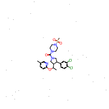 Cc1ccc(OC(C)C2CN(C(=O)N3CCN(S(C)(=O)=O)CC3)CC2c2ccc(Cl)c(Cl)c2)nc1